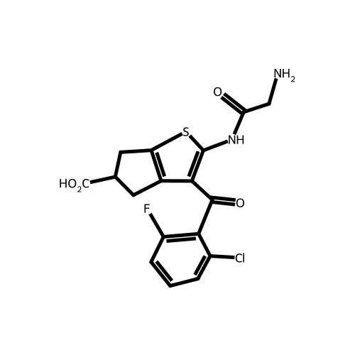 NCC(=O)Nc1sc2c(c1C(=O)c1c(F)cccc1Cl)CC(C(=O)O)C2